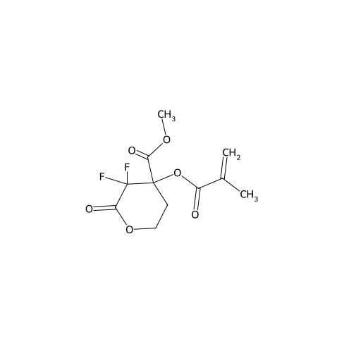 C=C(C)C(=O)OC1(C(=O)OC)CCOC(=O)C1(F)F